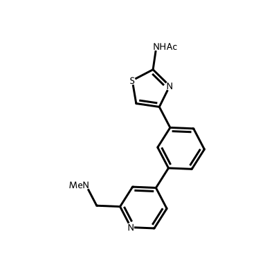 CNCc1cc(-c2cccc(-c3csc(NC(C)=O)n3)c2)ccn1